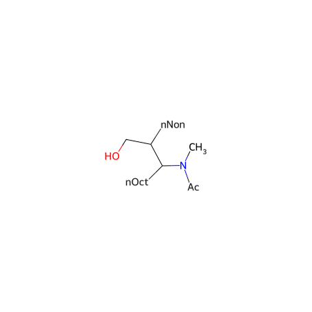 CCCCCCCCCC(CO)C(CCCCCCCC)N(C)C(C)=O